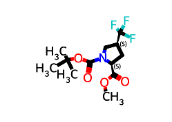 COC(=O)[C@@H]1C[C@H](C(F)(F)F)CN1C(=O)OC(C)(C)C